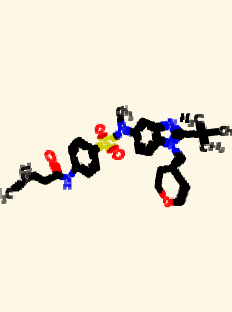 CBCC(=O)Nc1ccc(S(=O)(=O)N(C)c2ccc3c(c2)nc(C(C)(C)C)n3CC2CCOCC2)cc1